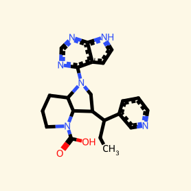 CCC(c1cccnc1)C1CN(c2ncnc3[nH]ccc23)C2CCCN(C(=O)O)C12